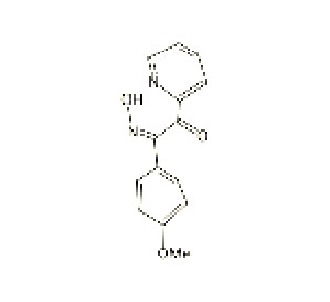 COc1ccc(/C(=N/O)C(=O)c2ccccn2)cc1